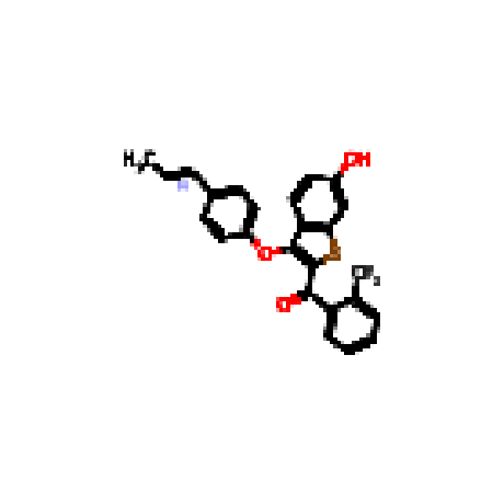 C/C=C/c1ccc(Oc2c(C(=O)c3ccccc3C(F)(F)F)sc3cc(O)ccc23)cc1